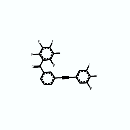 O=C(c1cccc(C#Cc2cc(F)c(F)c(F)c2)c1)c1c(F)c(F)c(F)c(F)c1F